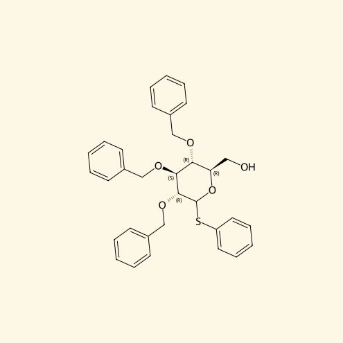 OC[C@H]1OC(Sc2ccccc2)[C@H](OCc2ccccc2)[C@@H](OCc2ccccc2)[C@@H]1OCc1ccccc1